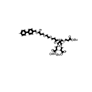 CC(C)COC(=O)CCOCC(COCCC(=O)OCC(C)C)(COCCC(=O)OCC(C)C)NC(=O)CCOCCOCCC(=O)OCc1ccc(-c2ccccc2)cc1